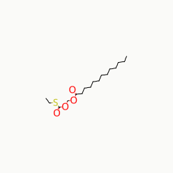 CCCCCCCCCCCCC(=O)OCOC(=O)SCC